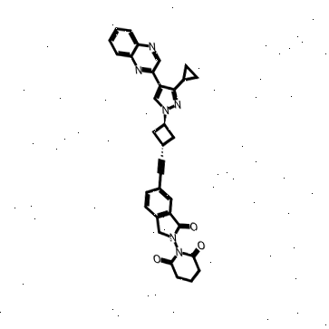 O=C1c2cc(C#C[C@H]3C[C@H](n4cc(-c5cnc6ccccc6n5)c(C5CC5)n4)C3)ccc2CN1N1C(=O)CCCC1=O